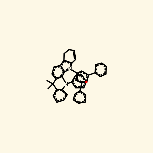 CC1(C)c2ccccc2N(c2ccccc2)c2c1ccc1c3c(n(-c4cc(-c5ccccc5)cc(-c5ccccc5)c4)c21)C=CCC3